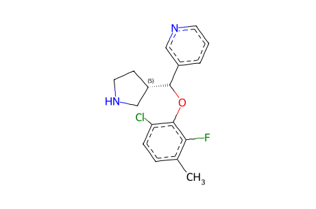 Cc1ccc(Cl)c(OC(c2cccnc2)[C@H]2CCNC2)c1F